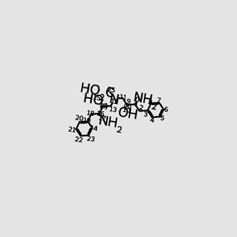 NC(Cc1ccccc1)[C@H](O)CN(C[C@H](O)C(N)Cc1ccccc1)C(=O)O